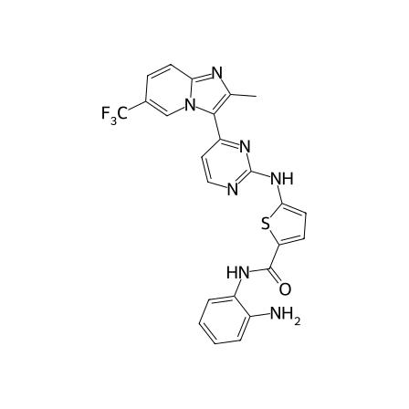 Cc1nc2ccc(C(F)(F)F)cn2c1-c1ccnc(Nc2ccc(C(=O)Nc3ccccc3N)s2)n1